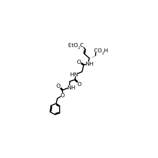 CCOC(=O)/C=C/[C@H](CC(=O)O)NC(=O)CNC(=O)CNC(=O)OCc1ccccc1